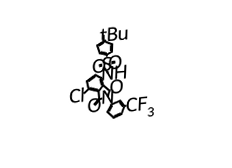 CC(C)(C)c1ccc(S(=O)(=O)Nc2ccc(Cl)c3c2C(=O)N(c2cccc(C(F)(F)F)c2)C3=O)cc1